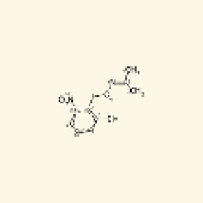 CC(C)=NOCc1c(Cl)cccc1[N+](=O)[O-]